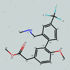 CNCc1cc(C(F)(F)F)ccc1-c1cc(CC(=O)OC)ccc1OC